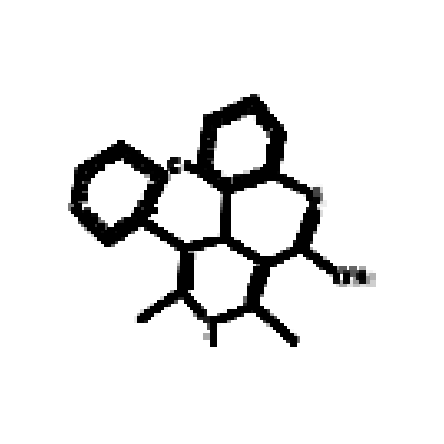 COC(=O)C1=C(C)NC(C)=C(c2cccnc2)C1c1c(Cl)cccc1Cl